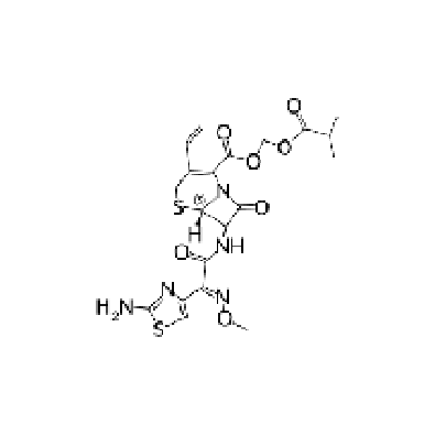 C=CC1=C(C(=O)OCOC(=O)C(C)C)N2C(=O)C(NC(=O)C(=NOC)c3csc(N)n3)[C@@H]2SC1